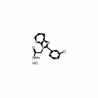 CNC(=O)Cn1c(-c2cccc(Cl)c2)nc2cccnc21.Cl